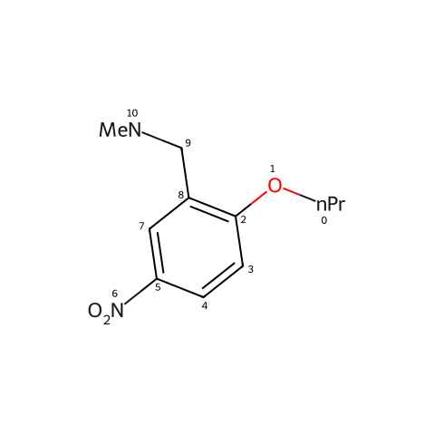 CCCOc1ccc([N+](=O)[O-])cc1CNC